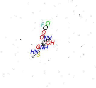 O=C(COc1ccc(Cl)c(F)c1)NC12CCC(NC(=O)C3CSC(C4CC4)N3)(CC1)C[C@@H]2O